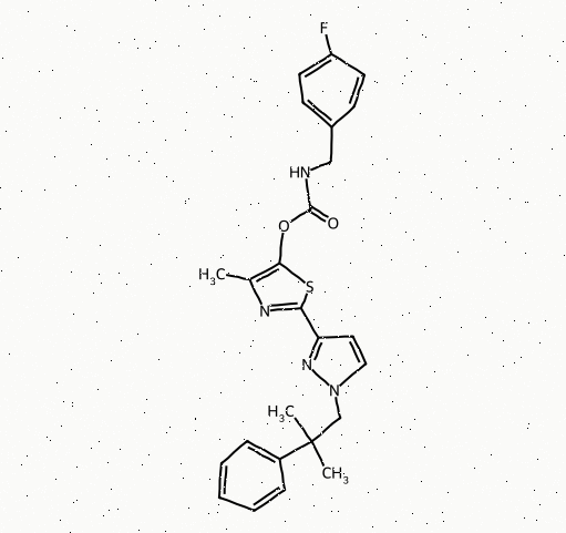 Cc1nc(-c2ccn(CC(C)(C)c3ccccc3)n2)sc1OC(=O)NCc1ccc(F)cc1